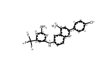 Nc1nc(Nc2ccc3nc(-c4ccc(Cl)cc4)cc(N)c3c2)cc(C(F)(F)F)n1